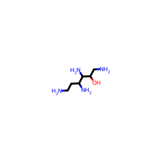 NCCC(N)C(N)C(O)CN